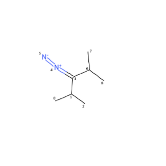 CC(C)C(=[N+]=[N-])C(C)C